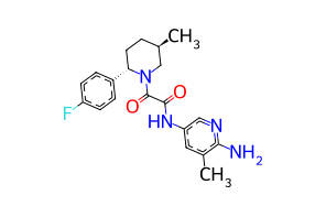 Cc1cc(NC(=O)C(=O)N2C[C@H](C)CC[C@H]2c2ccc(F)cc2)cnc1N